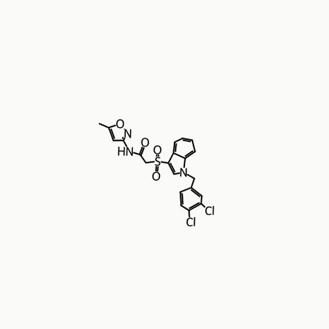 Cc1cc(NC(=O)CS(=O)(=O)c2cn(Cc3ccc(Cl)c(Cl)c3)c3ccccc23)no1